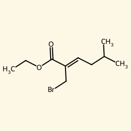 CCOC(=O)/C(=C/CC(C)C)CBr